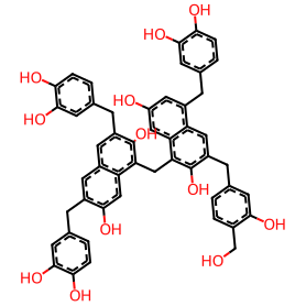 OCc1ccc(Cc2cc3c(Cc4ccc(O)c(O)c4)cc(O)cc3c(Cc3c(O)c(Cc4ccc(O)c(O)c4)cc4cc(Cc5ccc(O)c(O)c5)c(O)cc34)c2O)cc1O